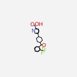 O=C(O)c1ccc(C2CCC(C(=O)c3ccccc3C(F)(F)F)CC2)cn1